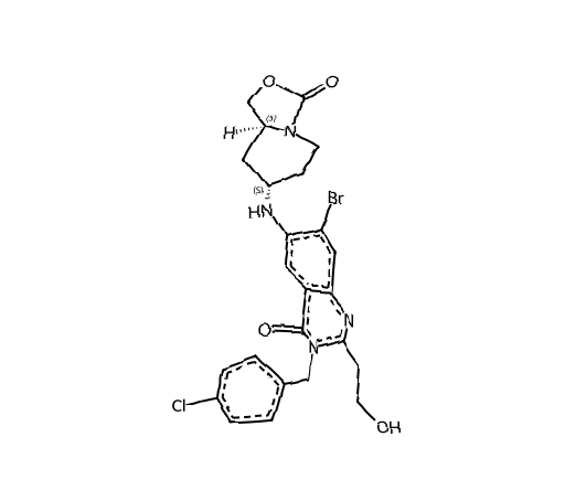 O=C1OC[C@@H]2C[C@@H](Nc3cc4c(=O)n(Cc5ccc(Cl)cc5)c(CCO)nc4cc3Br)CCN12